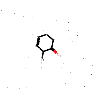 CCC1C=CCCC1=O